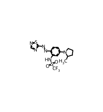 CC1CCCN1c1ccc(N=Nc2ncns2)c(NS(=O)(=O)C(F)(F)F)c1